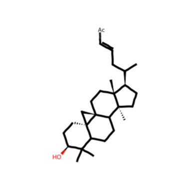 CC(=O)/C=C/CC(C)[C@H]1CC[C@@]2(C)C3CCC4C(C)(C)[C@@H](O)CC[C@@]45C[C@@]35CC[C@]12C